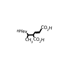 CCCCCCC(C)C(C=CC(=O)O)C(=O)O